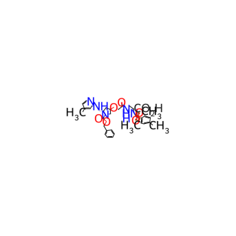 Cc1ccnc(NC[C@@H]2C[C@@H](OCC(=O)NC[C@H](NS(=O)(=O)c3c(C)cc(C)cc3C)C(=O)O)CN2C(=O)OCc2ccccc2)c1